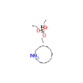 C1CCCCCCCCCCC1.CCO[SiH](OCC)OCC.N